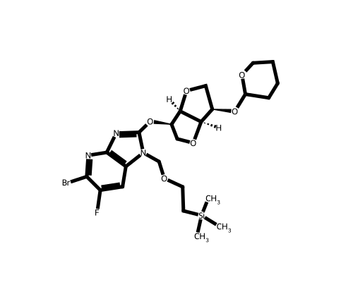 C[Si](C)(C)CCOCn1c(O[C@@H]2CO[C@H]3[C@@H]2OC[C@H]3OC2CCCCO2)nc2nc(Br)c(F)cc21